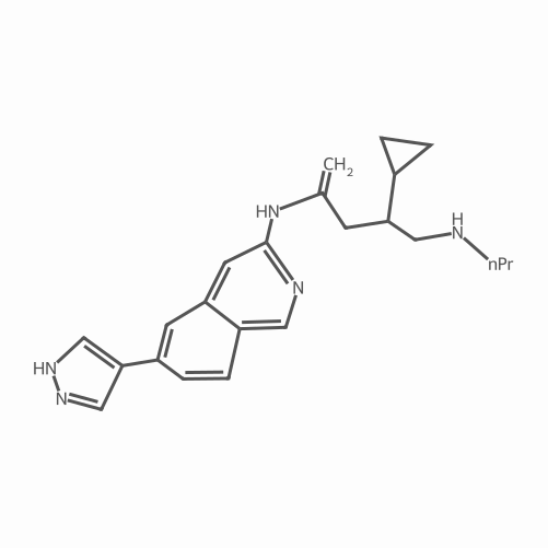 C=C(CC(CNCCC)C1CC1)Nc1cc2cc(-c3cn[nH]c3)ccc2cn1